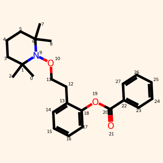 CC1(C)CCCC(C)(C)N1OCCc1ccccc1OC(=O)c1ccccc1